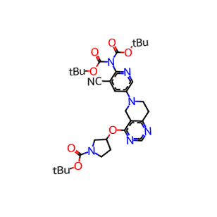 CC(C)(C)OC(=O)N1CCC(Oc2ncnc3c2CN(c2cnc(N(C(=O)OC(C)(C)C)C(=O)OC(C)(C)C)c(C#N)c2)CC3)C1